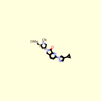 COC[C@@H]1C[C@@H](N2Cc3ccc(-n4cc(C5CC5)cn4)nc3C2=O)CN1C#N